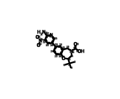 CC(C)(C)C1CN(C(=O)O)Cc2cc(-c3cnc(N)c([N+](=O)[O-])c3)ccc2O1